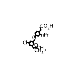 CCCc1cc(OCc2cc(Cl)cc3c2OC(C)(C)C3)ccc1CCC(=O)O